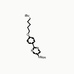 CCCCCCCCCc1cnc(-c2ccc(OCCCCC[C@@H](C)CC)cc2)nc1